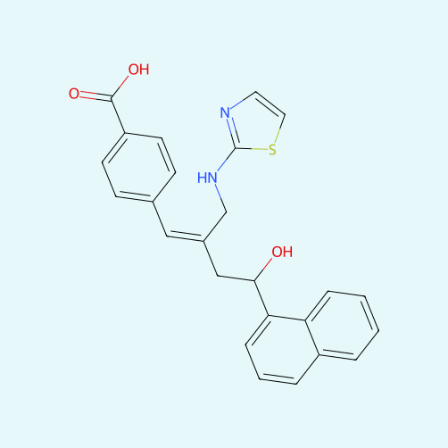 O=C(O)c1ccc(C=C(CNc2nccs2)CC(O)c2cccc3ccccc23)cc1